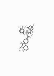 CCOC(=O)C1(C2CCCCC2)CCN(C(=O)[C@@H](Cc2ccc(F)cc2)NC(=O)[C@@H]2C[C@@H]3CC[C@H]2N(C)C3)CC1